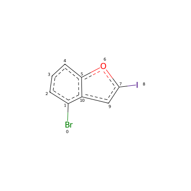 Brc1cccc2oc(I)cc12